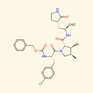 CC(C)[C@@H]1[C@@H](C(=O)N[C@H](C=O)C[C@@H]2CCNC2=O)N(C(=O)[C@H](Cc2ccc(Cl)cc2)NC(=O)OCc2ccccc2)C[C@@H]1C